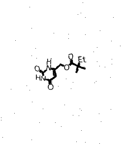 CCC(C)(C)C(=O)OCc1cc(=O)[nH]c(=O)[nH]1